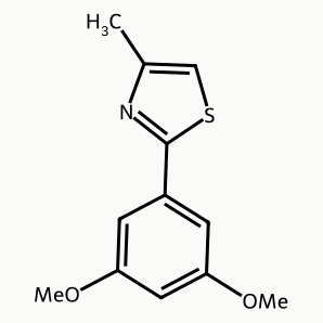 COc1cc(OC)cc(-c2nc(C)cs2)c1